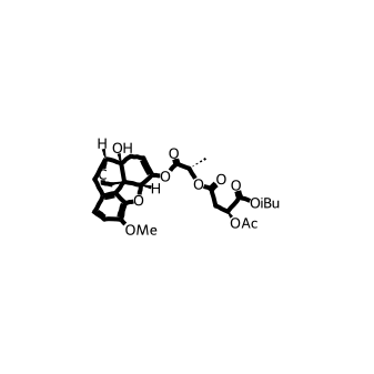 COc1ccc2c3c1O[C@H]1C(OC(=O)[C@H](C)OC(=O)C[C@H](OC(C)=O)C(=O)OCC(C)C)=CC[C@@]4(O)[C@H](CCC[C@]314)C2